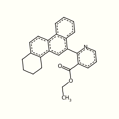 CCOC(=O)c1cccnc1-c1cc2c3c(ccc2c2ccccc12)CCCC3